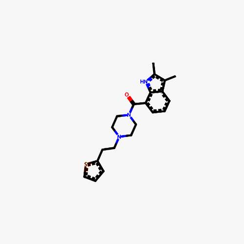 Cc1[nH]c2c(C(=O)N3CCN(CCc4cccs4)CC3)cccc2c1C